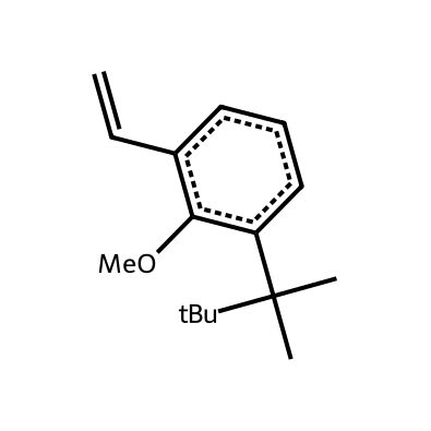 C=Cc1cccc(C(C)(C)C(C)(C)C)c1OC